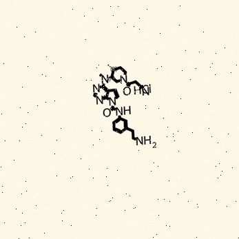 C[C@@H]1CCN(C(=O)CC#N)C[C@@H]1N(C)c1ncnc2c1ccn2C(=O)Nc1cccc(CCN)c1.Cl